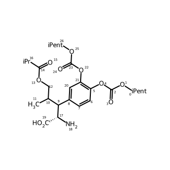 CCCC(C)OC(=O)Oc1ccc(C(C(C)COC(=O)C(C)C)[C@H](N)C(=O)O)cc1OC(=O)OC(C)CCC